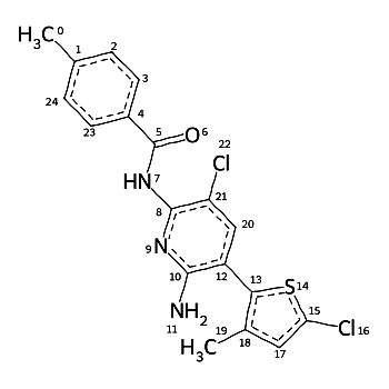 Cc1ccc(C(=O)Nc2nc(N)c(-c3sc(Cl)cc3C)cc2Cl)cc1